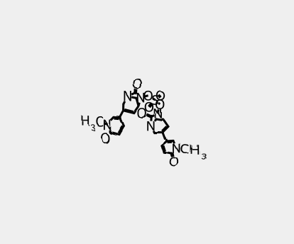 Cn1cc(C2=CC3CN(C2)C(=O)N3OS(=O)(=O)ON2C(=O)N3CC(c4ccc(=O)n(C)c4)=CC2C3)ccc1=O